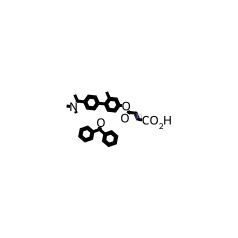 Cc1cc(OC(=O)/C=C/C(=O)O)ccc1-c1ccc(C(C)N(C)C)cc1.O=C(c1ccccc1)c1ccccc1